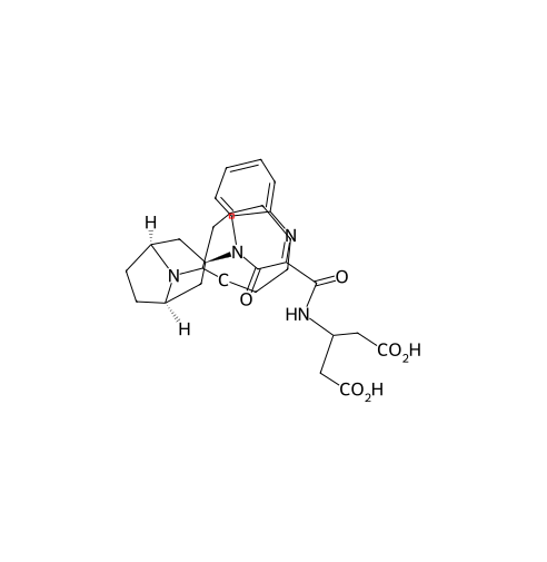 O=C(O)CC(CC(=O)O)NC(=O)c1nc2ccccc2n([C@H]2C[C@H]3CC[C@@H](C2)N3C2CCCCCCC2)c1=O